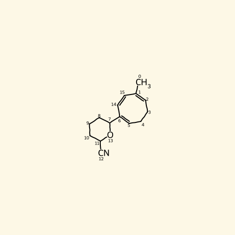 CC1=C/CCC=C(C2CCCC(C#N)O2)/C=C\1